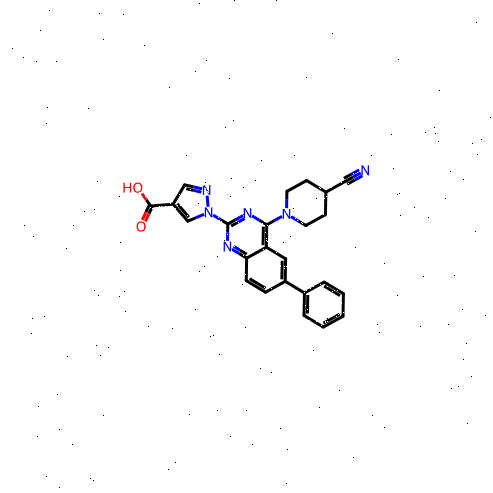 N#CC1CCN(c2nc(-n3cc(C(=O)O)cn3)nc3ccc(-c4ccccc4)cc23)CC1